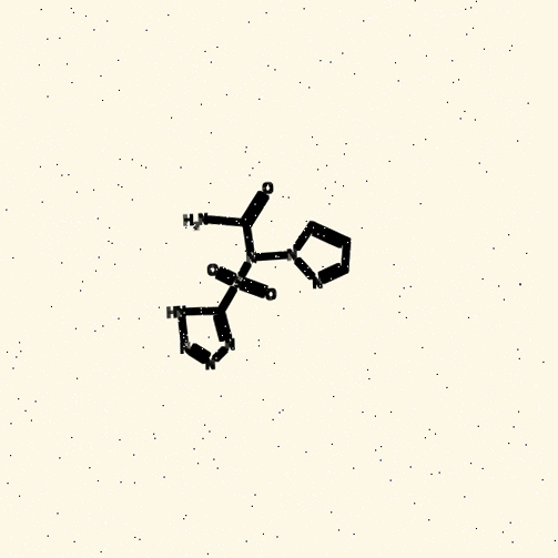 NC(=O)N(n1cccn1)S(=O)(=O)c1nnn[nH]1